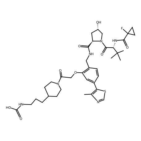 Cc1ncsc1-c1ccc(CNC(=O)[C@H]2C[C@H](O)CN2C(=O)[C@H](NC(=O)C2(F)CC2)C(C)(C)C)c(OCC(=O)N2CCC(CCCNC(=O)O)CC2)c1